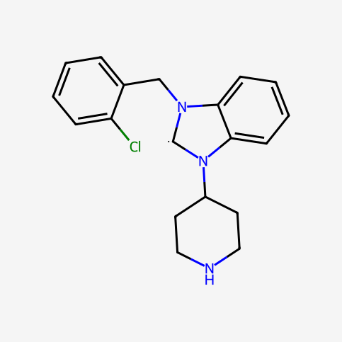 Clc1ccccc1CN1[CH]N(C2CCNCC2)c2ccccc21